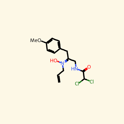 C=CC[N+](O)=C(CNC(=O)C(Cl)Cl)Cc1ccc(OC)cc1